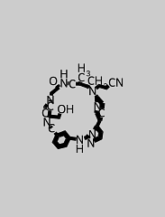 CC1CNC(=O)CN2CCN(Cc3cccc(c3)Nc3nccc(n3)-c3ccc(nc3)N(CCC#N)C1C)C(CO)C2